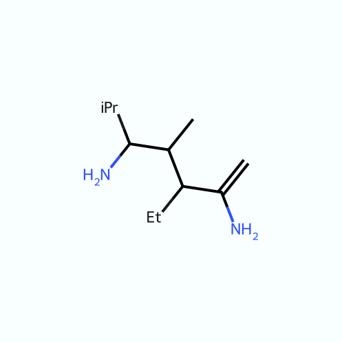 C=C(N)C(CC)C(C)C(N)C(C)C